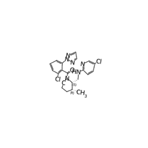 C[C@@H]1CCCN(C(=O)c2c(Cl)cccc2-n2nccn2)[C@@H]1CNc1ccc(Cl)cn1